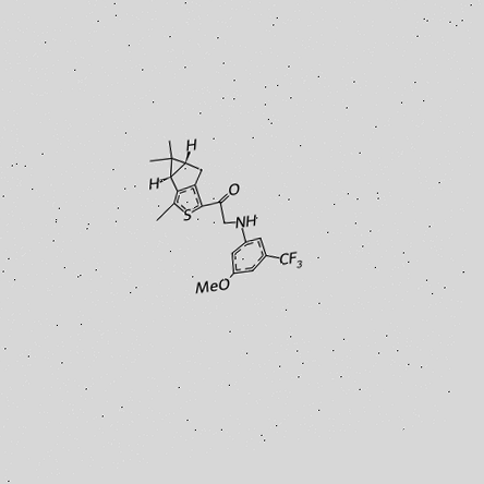 COc1cc(NCC(=O)c2sc(C)c3c2C[C@@H]2[C@H]3C2(C)C)cc(C(F)(F)F)c1